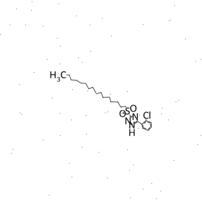 CCCCCCCCCCCCCCCCS(=O)(=O)c1n[nH]c(-c2ccccc2Cl)n1